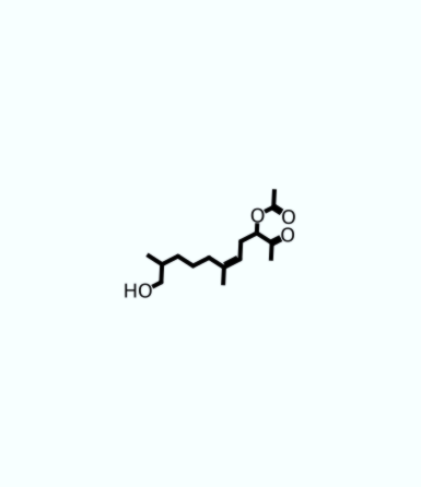 CC(=O)OC(CC=C(C)CCCC(C)CO)C(C)=O